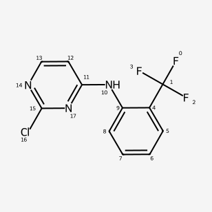 FC(F)(F)c1ccccc1Nc1ccnc(Cl)n1